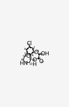 Clc1ccc2c(c1)C1CNCC2O1.O=C(O)C(=O)O